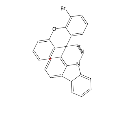 Brc1cccc2c1Oc1ccccc1C21c2ccccc2-n2c3ccccc3c3cccc1c32